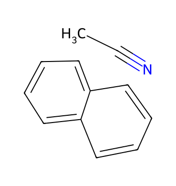 CC#N.c1ccc2ccccc2c1